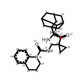 NC(=O)C12CC3CC(C1)C(NC(=O)C1(CNC(=O)N4CCCc5ccccc54)CC1)C(C3)C2